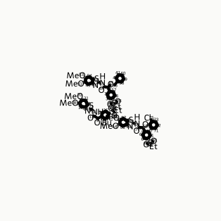 CCS(=O)(=O)c1ccc(C(OCC(C)C)C(=O)Nc2nc3cc(OC)c(OC)cc3s2)cc1.CCS(=O)(=O)c1ccc(C(OCc2ccccc2)C(=O)Nc2nc3cc(OC)c(OC)cc3s2)cc1.CCS(=O)(=O)c1ccc(C(Oc2ccccc2Cl)C(=O)Nc2nc3cc(OC)c(OC)cc3s2)cc1